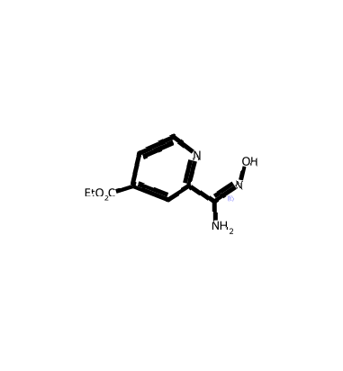 CCOC(=O)c1ccnc(/C(N)=N\O)c1